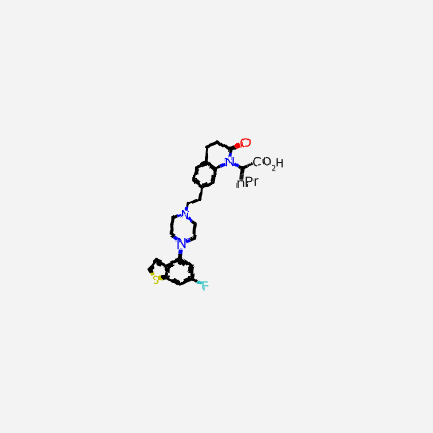 CCCC(C(=O)O)N1C(=O)CCc2ccc(CCN3CCN(c4cc(F)cc5sccc45)CC3)cc21